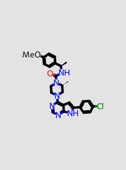 COc1ccc([C@@H](C)NC(=O)N2CCN(c3ncnc4[nH]c(-c5ccc(Cl)cc5)cc34)C[C@H]2C)cc1